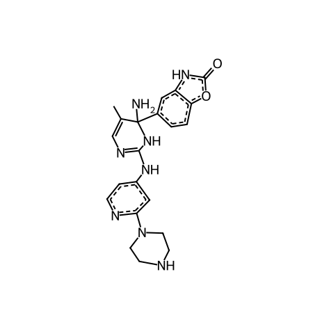 CC1=CN=C(Nc2ccnc(N3CCNCC3)c2)NC1(N)c1ccc2oc(=O)[nH]c2c1